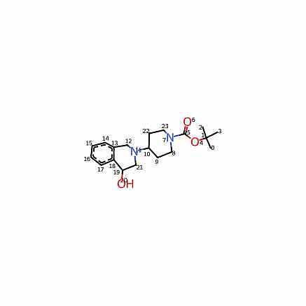 CC(C)(C)OC(=O)N1CCC(N2Cc3ccccc3C(O)C2)CC1